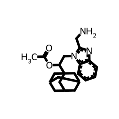 CC(=O)OC(Cn1c(CN)nc2ccccc21)C12CC3CC(CC(C3)C1)C2